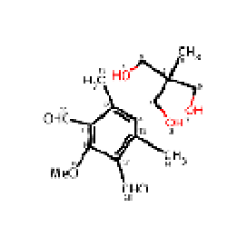 CC(CO)(CO)CO.COc1c(C=O)c(C)cc(C)c1C=O